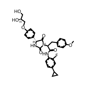 COc1ccc(CC(C(=O)Nc2ccc(C3CC3)cc2F)N2C(=O)N[C@H](c3ccc(OC[C@@H](O)CO)cc3)C2=O)cc1